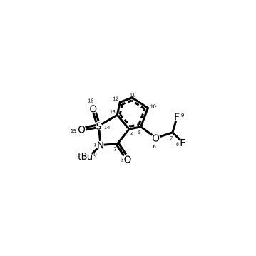 CC(C)(C)N1C(=O)c2c(OC(F)F)cccc2S1(=O)=O